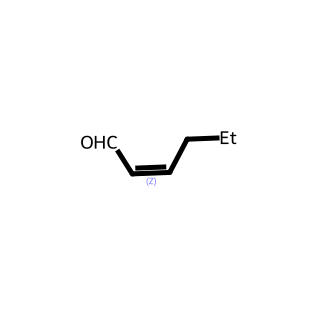 CCC/C=C\C=O